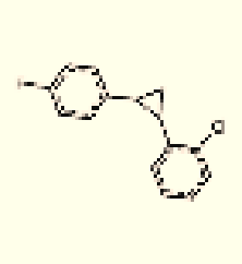 Fc1ccc(C2CC2c2ccccc2Cl)cc1